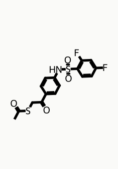 CC(=O)SCC(=O)c1ccc(NS(=O)(=O)c2ccc(F)cc2F)cc1